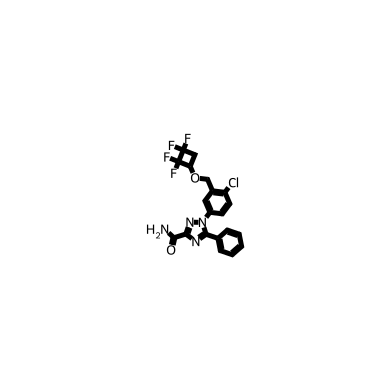 NC(=O)c1nc(-c2ccccc2)n(-c2ccc(Cl)c(COC3CC(F)(F)C3(F)F)c2)n1